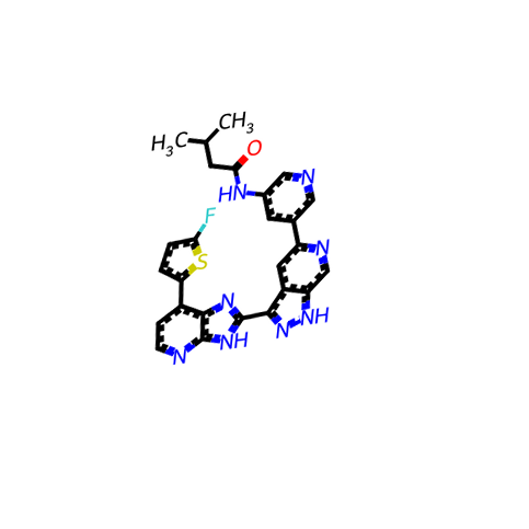 CC(C)CC(=O)Nc1cncc(-c2cc3c(-c4nc5c(-c6ccc(F)s6)ccnc5[nH]4)n[nH]c3cn2)c1